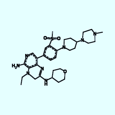 CCN1CC(NC2CCOCC2)=Nc2c(-c3ccc(N4CCC(N5CCN(C)CC5)CC4)c(S(C)(=O)=O)c3)cnc(N)c21